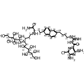 C[C@](O)(CN(CCCN[C@@H](CCc1ccc2cc(CCCCNC(=N)NC(=O)c3nc(Cl)c(N)nc3N)ccc2c1)C(N)=O)C[C@H](O)[C@@H](O)[C@H](O)[C@H](O)CO)[C@@H](O)[C@H](O)[C@H](O)CO